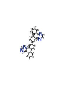 c1ccc2c(c1)c1ccc(-c3ccc4c5ccccc5c5nccnc5c4c3)cc1c1ncncc21